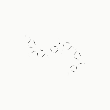 O=C(c1ccc(Cl)cc1)c1ccc(Oc2ccc3c(=O)c4ccc(Oc5ccc(C(=O)c6ccc(Cl)cc6)cc5)cc4oc3c2)cc1